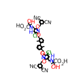 Cc1c(COc2nc(OCc3cc(C#N)cc(C#N)c3)c(CNC(C)(CO)C(=O)O)cc2Cl)cccc1-c1cccc(COc2nc(OCc3cc(C#N)cc(C#N)c3)c(CN[C@](C)(CO)C(=O)O)cc2Cl)c1C